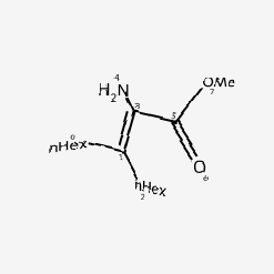 CCCCCCC(CCCCCC)=C(N)C(=O)OC